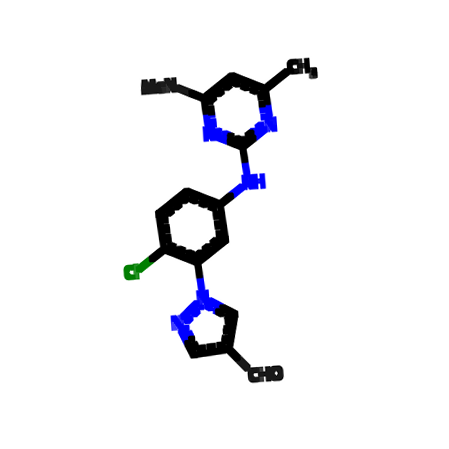 CNc1cc(C)nc(Nc2ccc(Cl)c(-n3cc(C=O)cn3)c2)n1